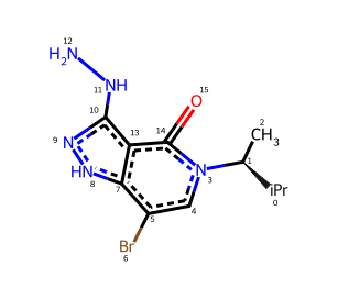 CC(C)[C@H](C)n1cc(Br)c2[nH]nc(NN)c2c1=O